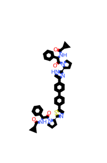 O=C(NC(C(=O)N1CCC[C@H]1c1nc(-c2ccc(-c3ccc(-c4cnc([C@@H]5CCCN5C(=O)C(NC(=O)C5CC5)c5ccccc5)s4)cc3)cc2)c[nH]1)c1ccccc1)C1CC1